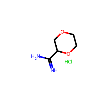 Cl.N=C(N)C1COCCO1